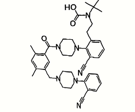 Cc1cc(C)c(C(=O)N2CCN(c3c(C#N)cccc3CCN(C(=O)O)C(C)(C)C)CC2)cc1CN1CCN(c2ccccc2C#N)CC1